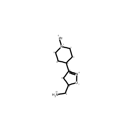 CC(C)N1CCC(C2=NOC(CN)C2)CC1